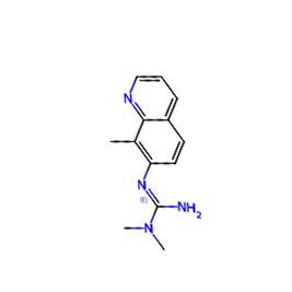 Cc1c(/N=C(\N)N(C)C)ccc2cccnc12